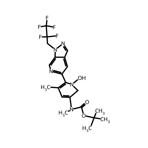 CC1=C(c2cc3cnn(CC(F)(F)C(F)(F)F)c3cn2)N(O)CC(N(C)C(=O)OC(C)(C)C)=C1